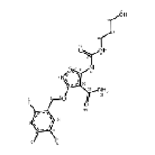 Cc1cc(F)c(COc2nsc(NC(=O)NCCCO)c2C(N)=O)cc1F